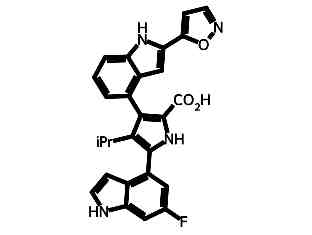 CC(C)c1c(-c2cc(F)cc3[nH]ccc23)[nH]c(C(=O)O)c1-c1cccc2[nH]c(-c3ccno3)cc12